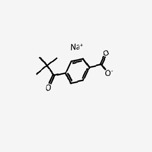 CC(C)(C)C(=O)c1ccc(C(=O)[O-])cc1.[Na+]